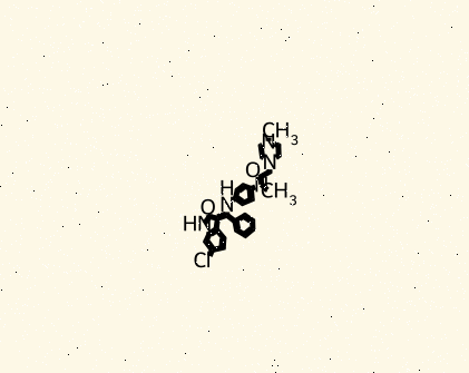 CN1CCN(CC(=O)N(C)c2ccc(N/C(=C3\C(=O)Nc4cc(Cl)ccc43)c3ccccc3)cc2)CC1